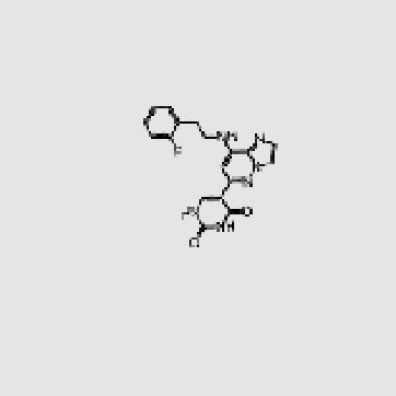 O=c1[nH]cc(-c2cc(NCCc3ccccc3F)c3nccn3n2)c(=O)[nH]1